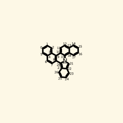 c1ccc2c(c1)ccc1c2c2ccc3ccccc3c2n2cc3ccccc3c12